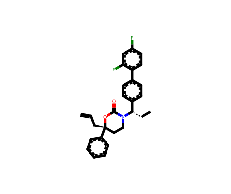 C=CC[C@]1(c2ccccc2)CCN([C@@H](CC)c2ccc(-c3ccc(F)cc3F)cc2)C(=O)O1